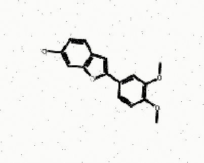 COc1ccc(-c2cc3ccc(Cl)cc3o2)cc1OC